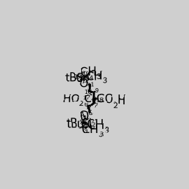 CC(C)(C)[Si](C)(C)OCCCC(CCCO[Si](C)(C)C(C)(C)C)(C(=O)O)C(=O)O